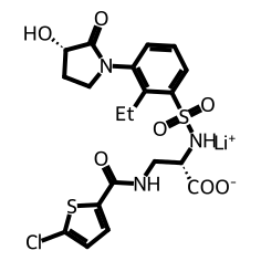 CCc1c(N2CC[C@H](O)C2=O)cccc1S(=O)(=O)N[C@@H](CNC(=O)c1ccc(Cl)s1)C(=O)[O-].[Li+]